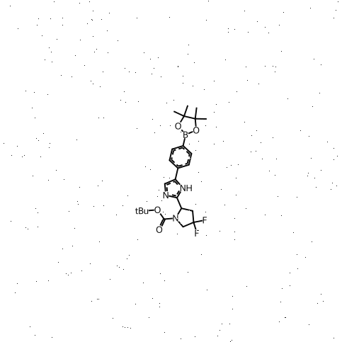 CC(C)(C)OC(=O)N1CC(F)(F)CC1c1ncc(-c2ccc(B3OC(C)(C)C(C)(C)O3)cc2)[nH]1